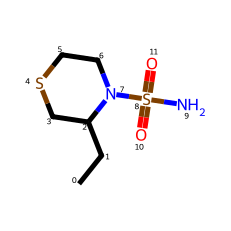 CCC1CSCCN1S(N)(=O)=O